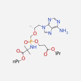 CCCOC(=O)C(C)(C)NP(=O)(CO[C@H](C)Cn1cnc2c(N)ncnc21)OCCC(=O)OC(C)C